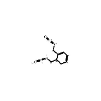 O=C=NCC1=CC=CCC1CN=C=O